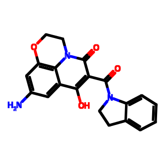 Nc1cc2c3c(c1)c(O)c(C(=O)N1CCc4ccccc41)c(=O)n3CCO2